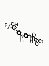 CCN1CC(C(=O)NCc2ccc(Nc3ccc(N4CCC(O)(C(F)(F)F)CC4)cc3)cc2)CC1=O